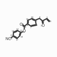 C=CC(=O)Cc1ccc(C(=O)Oc2ccc(C#N)cc2)cc1